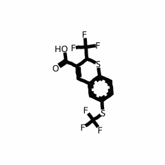 O=C(O)C1=Cc2cc(SC(F)(F)F)ccc2SC1C(F)(F)F